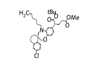 C=CCCCCN1C[C@@]2(CCCc3cc(Cl)ccc32)COc2ccc([C@H](CCC(=O)OC)C(=O)OC(C)(C)C)cc21